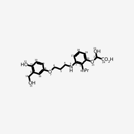 CCCc1c(NCCCOc2ccc(O)c(CO)c2)cccc1OC(O)C(=O)O